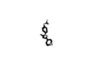 Cc1cc(C2CCNCC2)nn1-c1ccc(OC(F)F)cc1